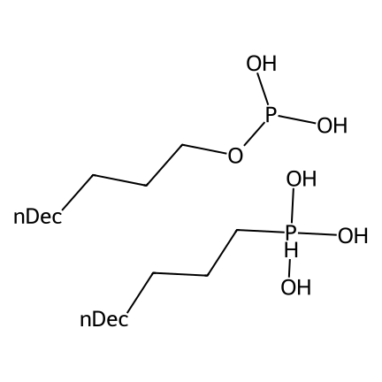 CCCCCCCCCCCCCOP(O)O.CCCCCCCCCCCCC[PH](O)(O)O